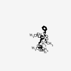 COC(=O)[C@H]1N(C(=O)OCc2ccccc2)C[C@H](CN(C)C)[C@@]1(C)CCCB1OC(C)(C)C(C)(C)O1